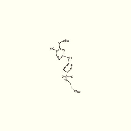 CCCCSc1nc(Nc2ccc(S(=O)(=O)NCCOC)cc2)ncc1C#N